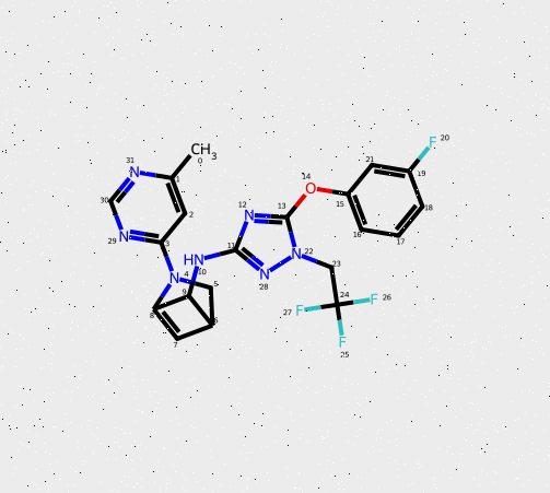 Cc1cc(N2CC3C=C2C3Nc2nc(Oc3cccc(F)c3)n(CC(F)(F)F)n2)ncn1